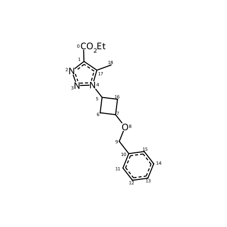 CCOC(=O)c1nnn(C2CC(OCc3ccccc3)C2)c1C